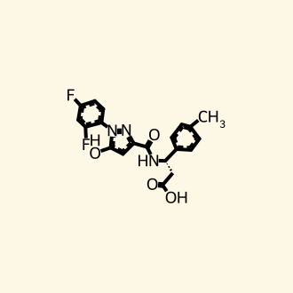 Cc1ccc([C@H](CC(=O)O)NC(=O)c2cc(O)n(-c3ccc(F)cc3F)n2)cc1